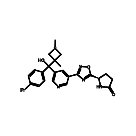 CC(C)c1ccc(C(O)(c2cncc(-c3noc([C@H]4CCC(=O)N4)n3)c2)C2(C)CN(C)C2)cc1